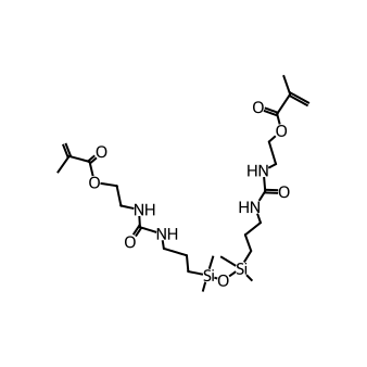 C=C(C)C(=O)OCCNC(=O)NCCC[Si](C)(C)O[Si](C)(C)CCCNC(=O)NCCOC(=O)C(=C)C